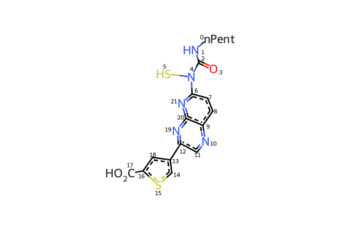 CCCCCNC(=O)N(S)c1ccc2ncc(-c3csc(C(=O)O)c3)nc2n1